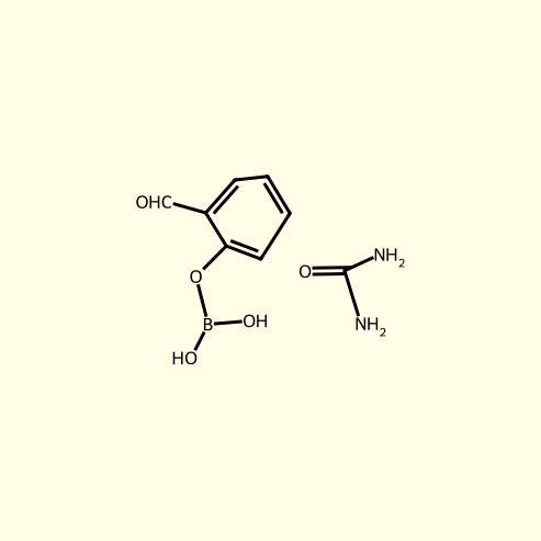 NC(N)=O.O=Cc1ccccc1OB(O)O